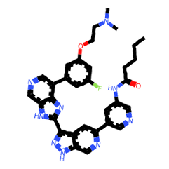 CCCCC(=O)Nc1cncc(-c2cc3c(-c4nc5c(-c6cc(F)cc(OCCN(C)C)c6)cncc5[nH]4)n[nH]c3cn2)c1